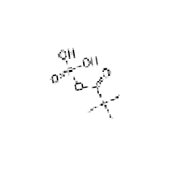 CC(C)(C)C(=O)OP(=O)(O)O